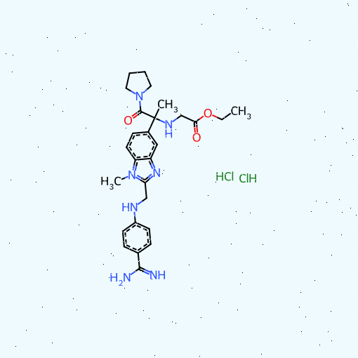 CCOC(=O)CNC(C)(C(=O)N1CCCC1)c1ccc2c(c1)nc(CNc1ccc(C(=N)N)cc1)n2C.Cl.Cl